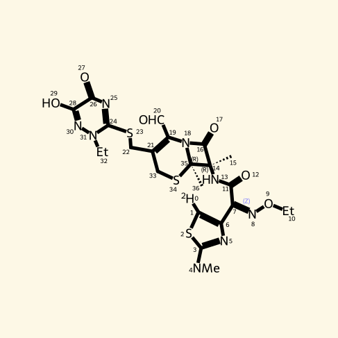 [2H]c1sc(NC)nc1/C(=N/OCC)C(=O)N[C@]1(C)C(=O)N2C(C=O)=C(CSc3nc(=O)c(O)nn3CC)CS[C@@]21C